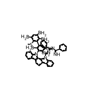 Bc1cc(B)c(SC)c(-c2cc(O)c(B)c(-n3c4ccccc4c4ccc5c6ccccc6n(/C=N/C(=N\C(=N)c6ccccc6)c6ccccc6)c5c43)c2B)c1B